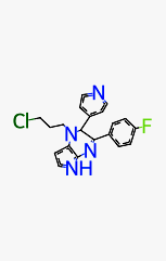 Fc1ccc(C2=Nc3[nH]ccc3N(CCCCl)C2c2ccncc2)cc1